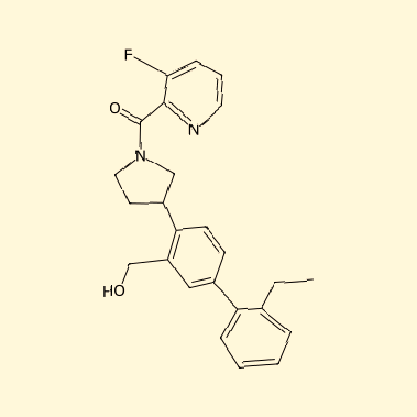 CCc1ccccc1-c1ccc(C2CCN(C(=O)c3ncccc3F)C2)c(CO)c1